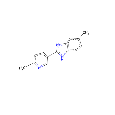 Cc1ccc2[nH]c(-c3ccc(C)nc3)nc2c1